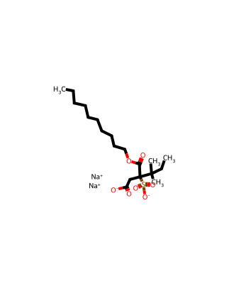 CCCCCCCCCCOC(=O)C(CC(=O)[O-])(C(C)(C)CC)S(=O)(=O)[O-].[Na+].[Na+]